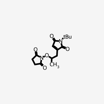 CC(CC1=CC(=O)N(C(C)(C)C)C1=O)ON1C(=O)CCC1=O